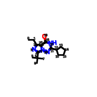 CCc1nc(C(C)(C)C)n2nc(C3CCCC3)[nH]c(=O)c12